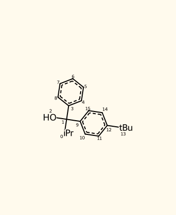 CC(C)C(O)(c1ccccc1)c1ccc(C(C)(C)C)cc1